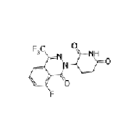 O=C1CCC(n2nc(C(F)(F)F)c3cccc(F)c3c2=O)C(=O)N1